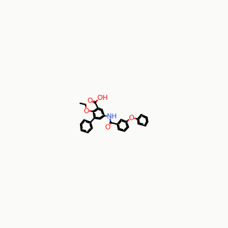 CCOc1c(C(=O)O)cc(NC(=O)c2cccc(Oc3ccccc3)c2)cc1-c1ccccc1